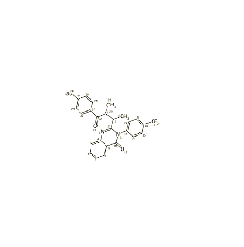 CC(c1nc2ccccc2c(=O)n1-c1ccc(C(F)(F)F)cc1)N(C)C(=O)c1ccc(C(C)(C)C)cc1